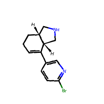 Brc1ccc(C2=CCC[C@@H]3CNC[C@H]23)cn1